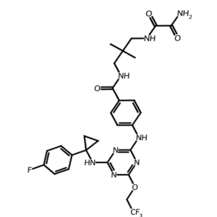 CC(C)(CNC(=O)C(N)=O)CNC(=O)c1ccc(Nc2nc(NC3(c4ccc(F)cc4)CC3)nc(OCC(F)(F)F)n2)cc1